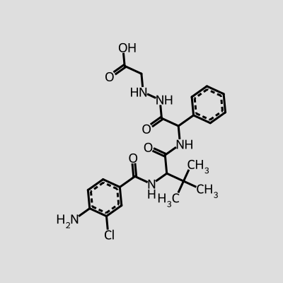 CC(C)(C)C(NC(=O)c1ccc(N)c(Cl)c1)C(=O)NC(C(=O)NNCC(=O)O)c1ccccc1